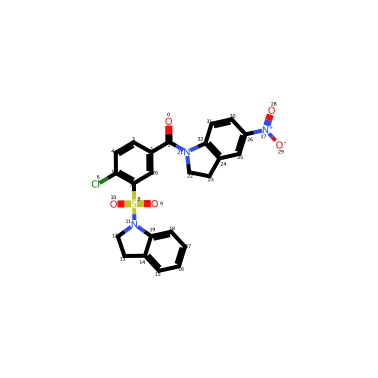 O=C(c1ccc(Cl)c(S(=O)(=O)N2CCc3ccccc32)c1)N1CCc2cc([N+](=O)[O-])ccc21